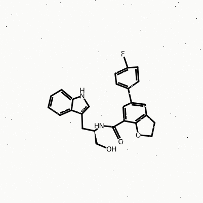 O=C(N[C@@H](CO)Cc1c[nH]c2ccccc12)c1cc(-c2ccc(F)cc2)cc2c1OCC2